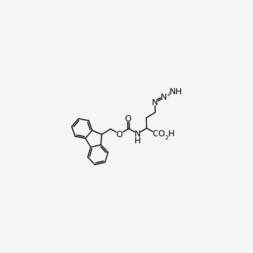 N=[N+]=NCCC(NC(=O)OCC1c2ccccc2-c2ccccc21)C(=O)O